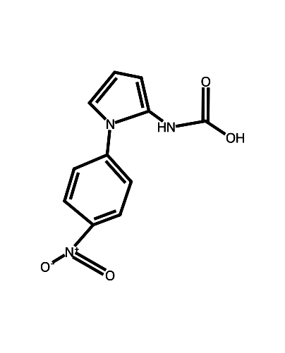 O=C(O)Nc1cccn1-c1ccc([N+](=O)[O-])cc1